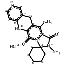 Cc1c2c(c(=O)n3c1C(=O)N(N)C31CCCCC1)Nc1ccncc1C2.Cl